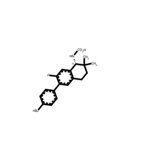 CCCCc1ccc(-c2cc3c(cc2F)[C@H](NC(=O)O)C(C)(C)CC3)cc1